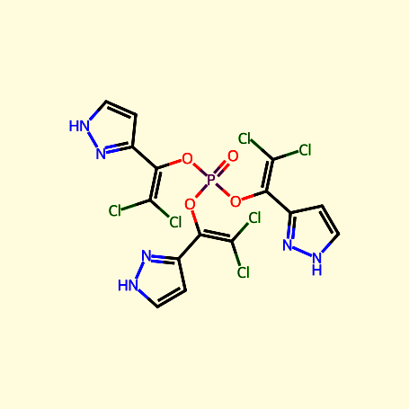 O=P(OC(=C(Cl)Cl)c1cc[nH]n1)(OC(=C(Cl)Cl)c1cc[nH]n1)OC(=C(Cl)Cl)c1cc[nH]n1